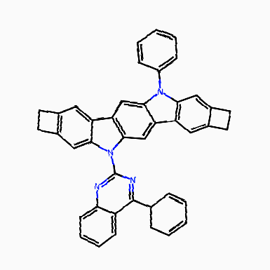 C1=CCC(c2nc(-n3c4cc5c(cc4c4cc6c(cc43)c3cc4c(cc3n6-c3ccccc3)CC4)CC5)nc3ccccc23)C=C1